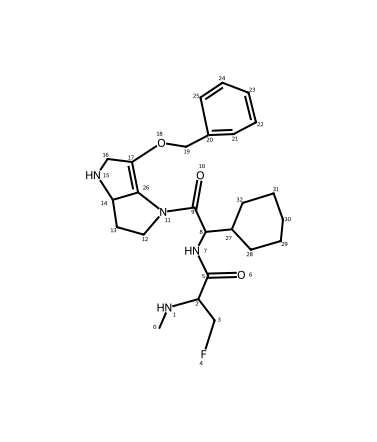 CNC(CF)C(=O)NC(C(=O)N1CCC2NCC(OCc3ccccc3)=C21)C1CCCCC1